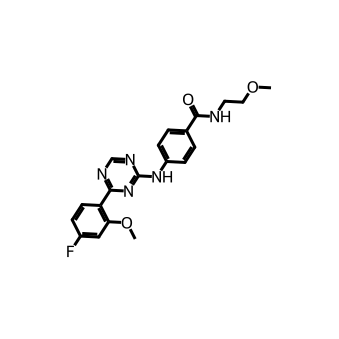 COCCNC(=O)c1ccc(Nc2ncnc(-c3ccc(F)cc3OC)n2)cc1